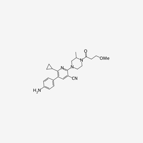 COCCC(=O)N1CCN(c2nc(C3CC3)c(-c3ccc(N)cc3)cc2C#N)CC1C